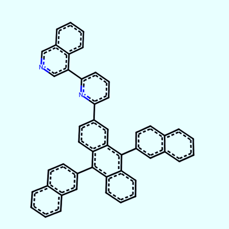 c1cc(-c2ccc3c(-c4ccc5ccccc5c4)c4ccccc4c(-c4ccc5ccccc5c4)c3c2)nc(-c2cncc3ccccc23)c1